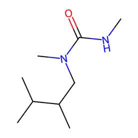 CNC(=O)N(C)CC(C)C(C)C